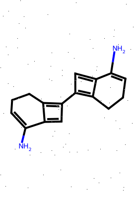 NC1=CCCC2=C(C3=C4CCC=C(N)C4=C3)C=C12